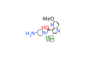 COc1ccc2nccc([C@@H](O)CN3CCC(N)CC3)c2n1.Cl.Cl